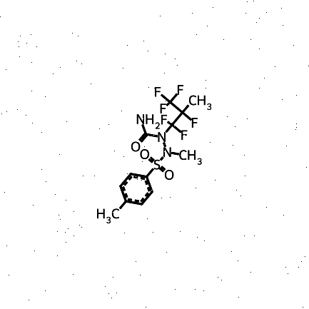 Cc1ccc(S(=O)(=O)N(C)N(C(N)=O)C(F)(F)C(C)(F)C(F)(F)F)cc1